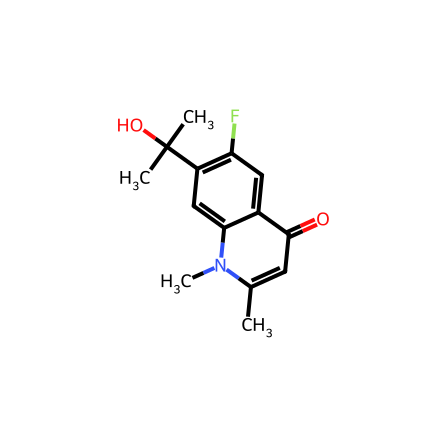 Cc1cc(=O)c2cc(F)c(C(C)(C)O)cc2n1C